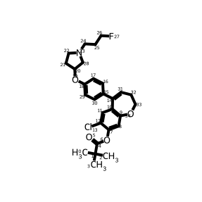 CC(C)(C)C(=O)Oc1cc2c(cc1Cl)C(c1ccc(OC3CCN(CCCF)C3)cc1)=CCCO2